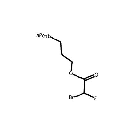 CCCCCCCCOC(=O)C(F)Br